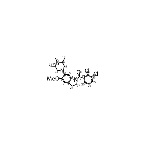 COc1cc2c(cc1N1CC(C)N(C)C(C)C1)N(C(=O)c1cccc(Cl)c1Cl)CC2